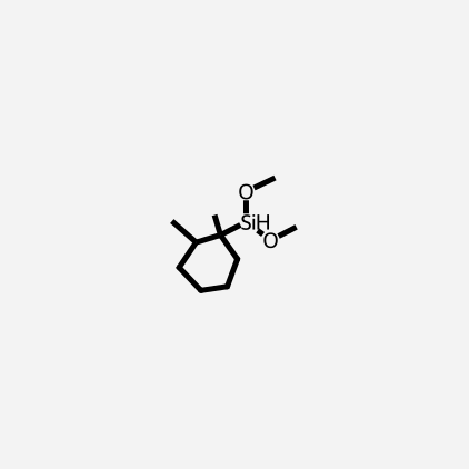 CO[SiH](OC)C1(C)CCCCC1C